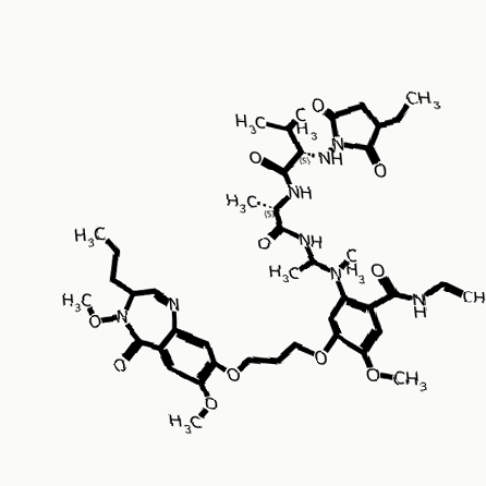 C=CNC(=O)c1cc(OC)c(OCCCOc2cc3c(cc2OC)C(=O)N(OC)C(CCC)C=N3)cc1N(C)C(C)NC(=O)[C@H](C)NC(=O)[C@@H](NN1C(=O)CC(CC)C1=O)C(C)C